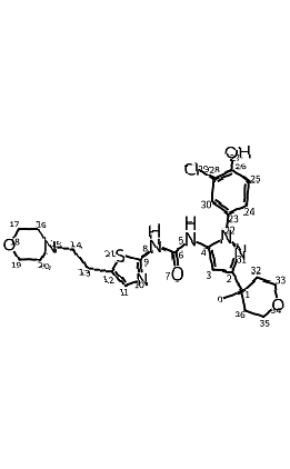 CC1(c2cc(NC(=O)Nc3ncc(CCN4CCOCC4)s3)n(-c3ccc(O)c(Cl)c3)n2)CCOCC1